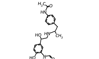 CC(=O)Nc1ccc(CC(C)NCC(O)c2ccc(O)c(NC=O)c2)cc1